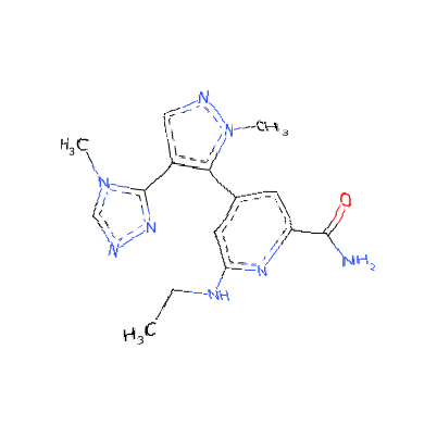 CCNc1cc(-c2c(-c3nncn3C)cnn2C)cc(C(N)=O)n1